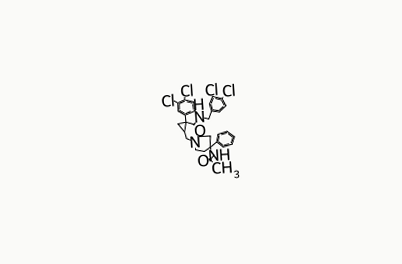 CC(=O)NC1(c2ccccc2)CCN(CC2CC2(C(=O)NCc2ccc(Cl)c(Cl)c2)c2ccc(Cl)c(Cl)c2)CC1